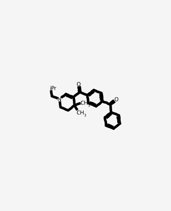 CC(C)CN1C=C(C(=O)c2ccc(C(=O)c3ccccc3)cc2)C(C)(C)CC1